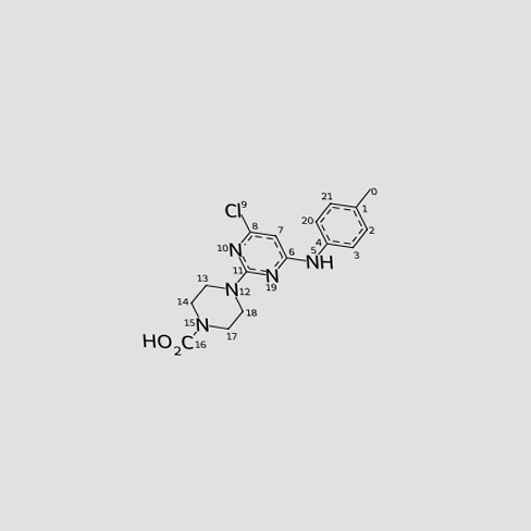 Cc1ccc(Nc2cc(Cl)nc(N3CCN(C(=O)O)CC3)n2)cc1